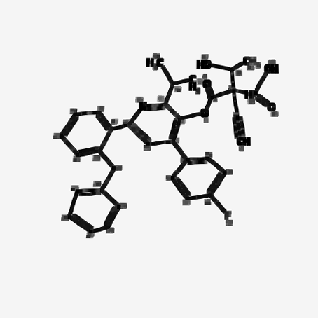 C#CC(C(=O)Oc1c(-c2ccc(F)cc2)cc(-c2ccccc2Cc2ccccc2)nc1C(C)C)(C(C)O)[PH](=O)O